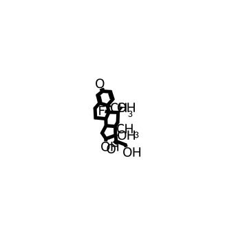 C[C@]12C=CC(=O)C=C1CCC1C3CC(O)[C@](O)(C(=O)CO)[C@@]3(C)C[C@H](O)C12F